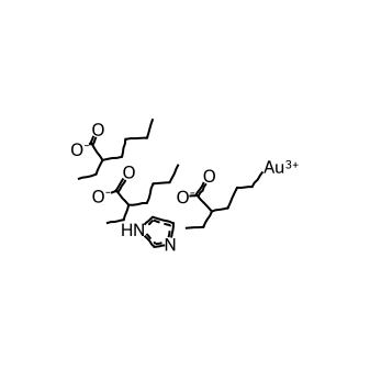 CCCCC(CC)C(=O)[O-].CCCCC(CC)C(=O)[O-].CCCCC(CC)C(=O)[O-].[Au+3].c1c[nH]cn1